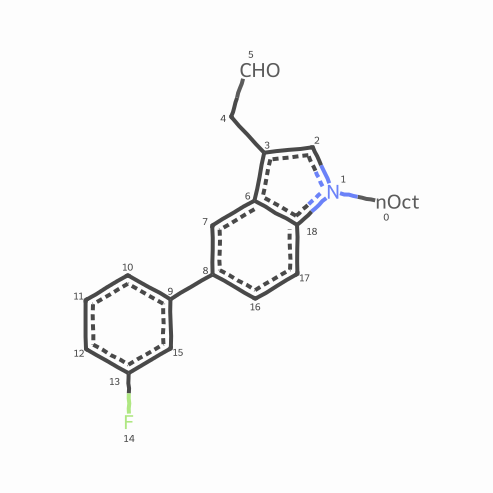 CCCCCCCCn1cc(CC=O)c2cc(-c3cccc(F)c3)ccc21